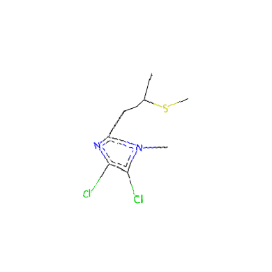 CSC(C)Cc1nc(Cl)c(Cl)n1C